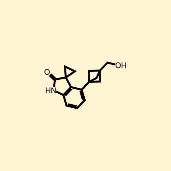 O=C1Nc2cccc(C34CC(CO)(C3)C4)c2C12CC2